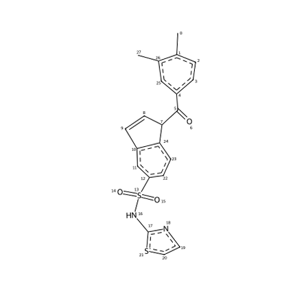 Cc1ccc(C(=O)C2C=Cc3cc(S(=O)(=O)Nc4nccs4)ccc32)cc1C